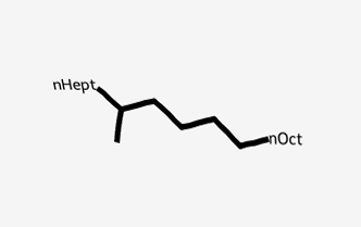 CCCCCCCCCCCCC(C)CCCCCCC